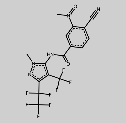 Cn1nc(C(F)(F)C(F)(F)F)c(C(F)(F)F)c1NC(=O)c1ccc(C#N)c([N+](C)=O)c1